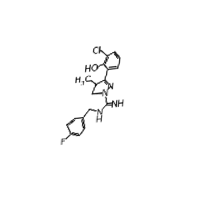 CC1CN(C(=N)NCc2ccc(F)cc2)N=C1c1cccc(Cl)c1O